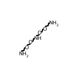 NCCCOCCOCCNCCOCCOCCCN